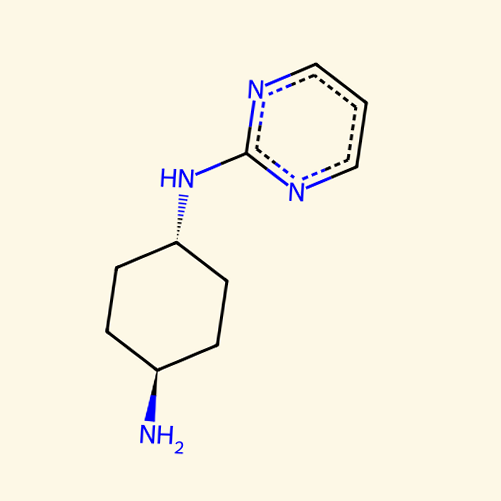 N[C@H]1CC[C@H](Nc2ncccn2)CC1